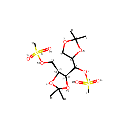 CC1(C)OCC(C(OS(C)(=O)=O)[C@H]2OC(C)(C)O[C@H]2COS(C)(=O)=O)O1